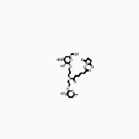 C[C@H]1CC[C@H](O)[C@H](OCCN(CCCO[C@@H]2O[C@H](CO)C[C@H](O)[C@@H]2O)C(=O)CCCCC(=O)ON2C(=O)CCC2=O)O1